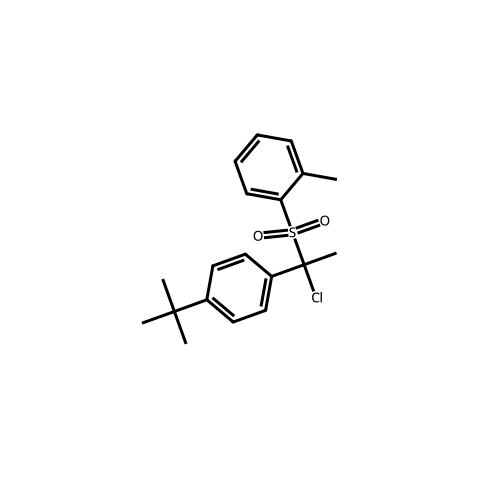 Cc1ccccc1S(=O)(=O)C(C)(Cl)c1ccc(C(C)(C)C)cc1